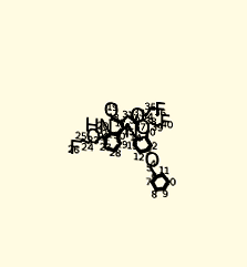 Cc1cc(OCc2ccccc2)ccc1N1c2c(c(=O)[nH]c3c(OCCF)cccc23)CC1(OCCF)OCCF